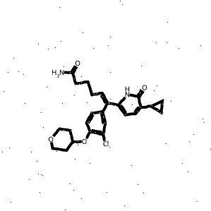 NC(=O)CCC/C=C(\c1ccc(OC2CCOCC2)c(Cl)c1)c1ccc(C2CC2)c(=O)[nH]1